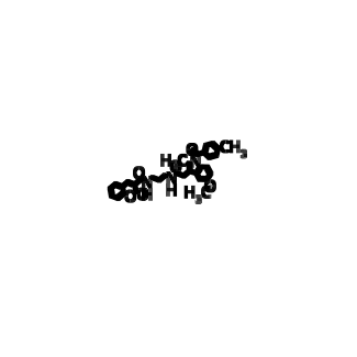 COc1ccc2c(c1)c(CC(=O)NCCCNC(=O)c1cc3ccccc3oc1=O)c(C)n2C(=O)c1ccc(C)cc1